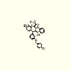 CCOC(=O)c1c(C)oc2c1c(C(c1ccnc(OCc3ccc(Cl)cc3)c1)N1CCOCC1)c(O)c1ccccc12